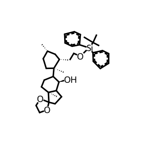 C[C@H]1CC[C@](C)(C2CC[C@@]3(C)C(CCC34OCCO4)[C@@H]2O)[C@@H](CCO[Si](c2ccccc2)(c2ccccc2)C(C)(C)C)C1